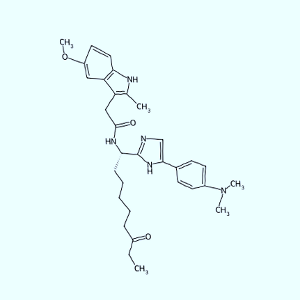 CCC(=O)CCCCC[C@H](NC(=O)Cc1c(C)[nH]c2ccc(OC)cc12)c1ncc(-c2ccc(N(C)C)cc2)[nH]1